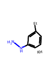 CCc1cccc(NN)c1.[KH]